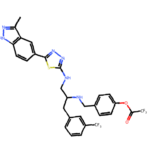 Cc1n[nH]c2ccc(-c3nnc(NCC(Cc4cccc(C(F)(F)F)c4)NCc4ccc(OC(=O)C(F)(F)F)cc4)s3)cc12